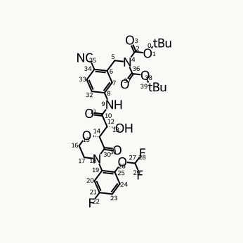 CC(C)(C)OC(=O)N(Cc1cc(NC(=O)[C@H](O)[C@H]2OCCN(c3cc(F)ccc3OC(F)F)C2=O)ccc1C#N)C(=O)OC(C)(C)C